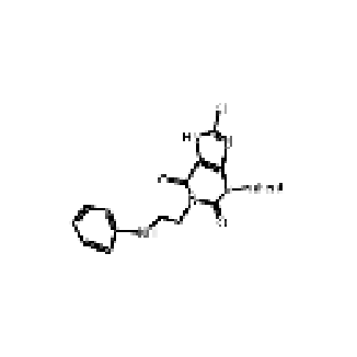 CCCCCn1c(=O)n(CCNc2ccccc2)c(=O)c2[nH]c(Cl)nc21